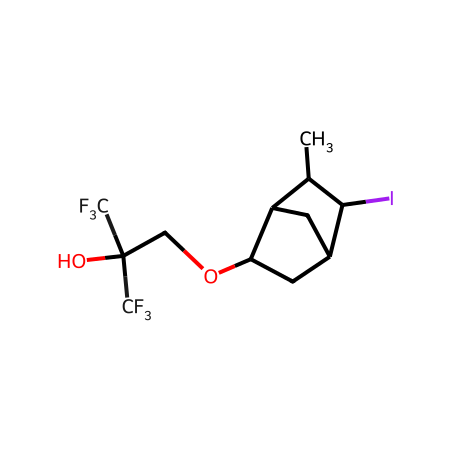 CC1C(I)C2CC(OCC(O)(C(F)(F)F)C(F)(F)F)C1C2